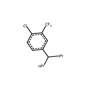 CCCC(CCC)c1ccc(Cl)c(C(F)(F)F)c1